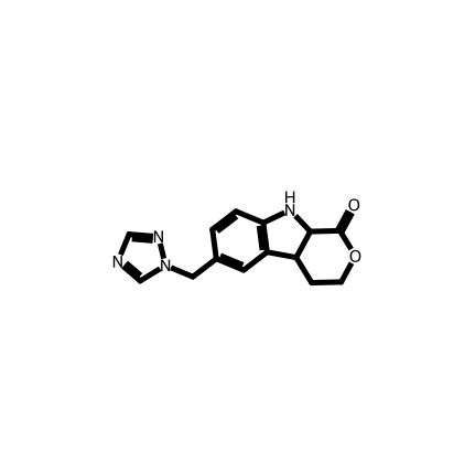 O=C1OCCC2c3cc(Cn4cncn4)ccc3NC12